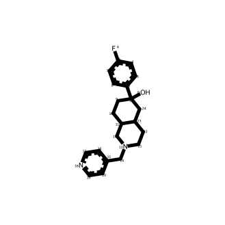 OC1(c2ccc(F)cc2)CCC2CN(Cc3ccncc3)CCC2C1